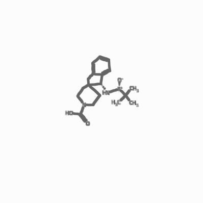 CC(C)(C)[S@@+]([O-])N[C@H]1c2ccccc2CC12CCN(C(=O)O)CC2